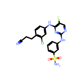 N#CCCc1ccc(Nc2nc(Nc3cccc(S(N)(=O)=O)c3)ncc2F)cc1Cl